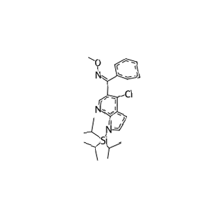 CON=C(c1ccccc1)c1cnc2c(ccn2[Si](C(C)C)(C(C)C)C(C)C)c1Cl